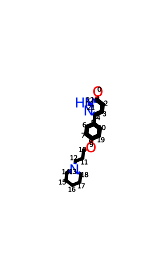 O=c1ccc(-c2ccc(OCCCN3CCCCC3)cc2)n[nH]1